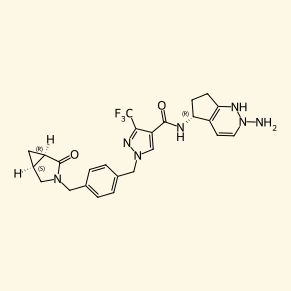 NN1C=CC2=C(CC[C@H]2NC(=O)c2cn(Cc3ccc(CN4C[C@H]5C[C@H]5C4=O)cc3)nc2C(F)(F)F)N1